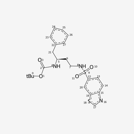 CC(C)(C)OC(=O)N[C@H](CCNS(=O)(=O)c1ccc2ncsc2c1)Cc1ccccc1